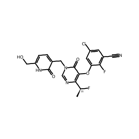 C[C@H](F)c1ncn(Cc2ccc(CO)[nH]c2=O)c(=O)c1Oc1cc(Cl)cc(C#N)c1F